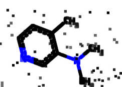 BN(C)c1cnccc1C